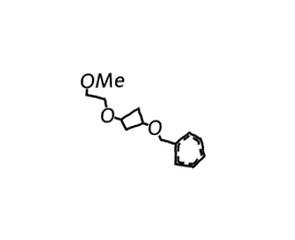 COCCOC1CC(OCc2ccccc2)C1